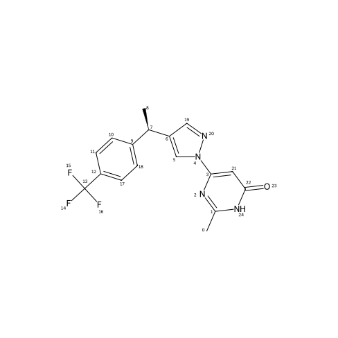 Cc1nc(-n2cc([C@H](C)c3ccc(C(F)(F)F)cc3)cn2)cc(=O)[nH]1